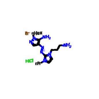 CCCCCCn1ncc(/N=N/c2n(CCCN)cc[n+]2CCC)c1N.Cl.[Br-]